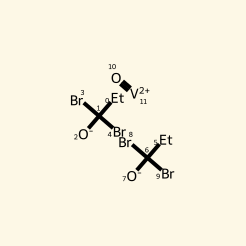 CCC([O-])(Br)Br.CCC([O-])(Br)Br.[O]=[V+2]